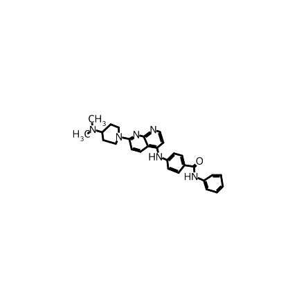 CN(C)C1CCN(c2ccc3c(Nc4ccc(C(=O)Nc5ccccc5)cc4)ccnc3n2)CC1